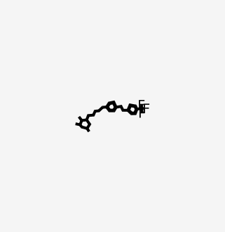 CC1CC(C)C(C)C(CCCCCc2ccc(CCc3ccc(C(F)(F)F)cc3)cc2)C1